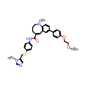 CCCCOCCOc1ccc(-c2ccc3c(c2)/C=C(/C(=O)Nc2ccc(SCc4cncn4CCC)cc2)CCCN3CCC)cc1